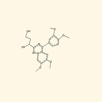 COc1ccc(-c2nc(C(S)CCO)nc3cc(OC)c(OC)cc23)cc1OC